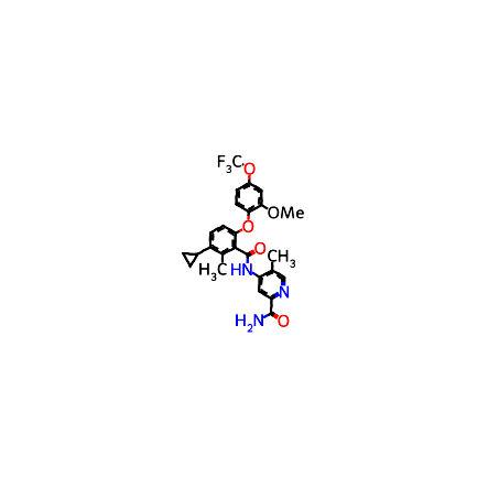 COc1cc(OC(F)(F)F)ccc1Oc1ccc(C2CC2)c(C)c1C(=O)Nc1cc(C(N)=O)ncc1C